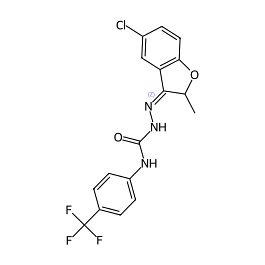 CC1Oc2ccc(Cl)cc2/C1=N/NC(=O)Nc1ccc(C(F)(F)F)cc1